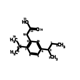 CCC(C)c1ccc(N(C)C)c(CC(=O)O)c1